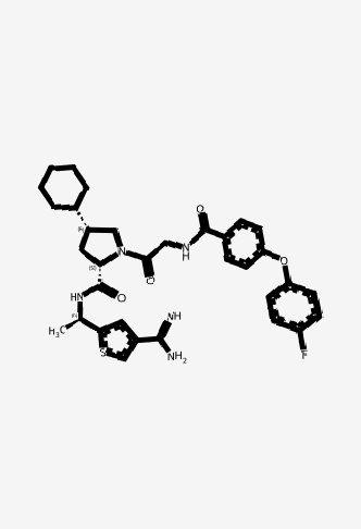 C[C@@H](NC(=O)[C@@H]1C[C@H](C2CCCCC2)CN1C(=O)CNC(=O)c1ccc(Oc2ccc(F)cc2)cc1)c1cc(C(=N)N)cs1